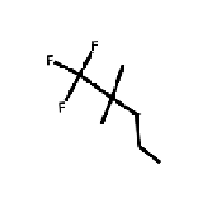 CC[CH]C(C)(C)C(F)(F)F